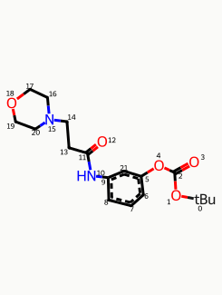 CC(C)(C)OC(=O)Oc1cccc(NC(=O)CCN2CCOCC2)c1